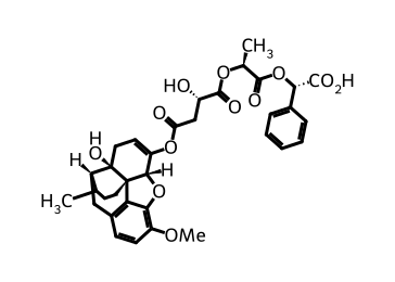 COc1ccc2c3c1O[C@H]1C(OC(=O)C[C@H](O)C(=O)O[C@@H](C)C(=O)O[C@H](C(=O)O)c4ccccc4)=CC[C@@]4(O)[C@@H](C2)C(C)CC[C@]314